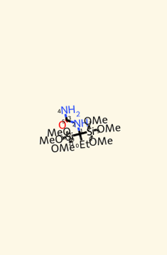 CCC(NC(N)=O)([Si](OC)(OC)OC)[Si](OC)(OC)OC